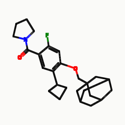 O=C(c1cc(C2CCC2)c(OCC23CC4CC(CC(C4)C2)C3)cc1F)N1CCCC1